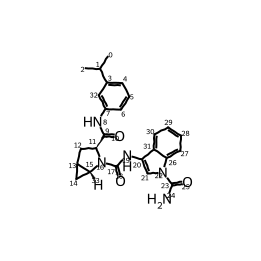 CC(C)c1cccc(NC(=O)[C@@H]2CC3C[C@H]3N2C(=O)Nc2cn(C(N)=O)c3ccccc23)c1